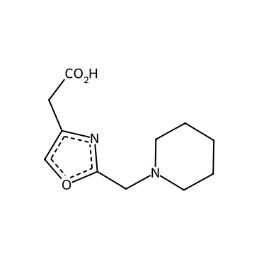 O=C(O)Cc1coc(CN2CCCCC2)n1